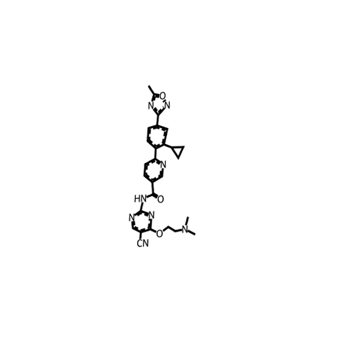 Cc1nc(-c2ccc(-c3ccc(C(=O)Nc4ncc(C#N)c(OCCN(C)C)n4)cn3)c(C3CC3)c2)no1